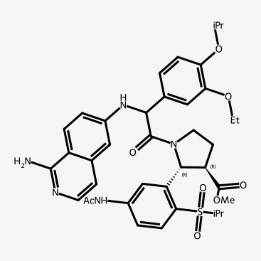 CCOc1cc(C(Nc2ccc3c(N)nccc3c2)C(=O)N2CC[C@@H](C(=O)OC)[C@@H]2c2cc(NC(C)=O)ccc2S(=O)(=O)C(C)C)ccc1OC(C)C